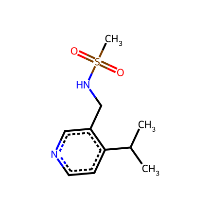 CC(C)c1ccncc1CNS(C)(=O)=O